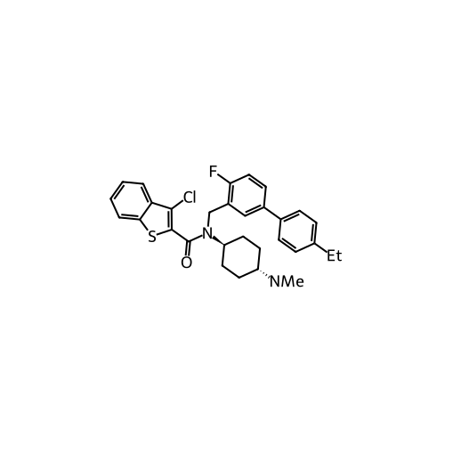 CCc1ccc(-c2ccc(F)c(CN(C(=O)c3sc4ccccc4c3Cl)[C@H]3CC[C@H](NC)CC3)c2)cc1